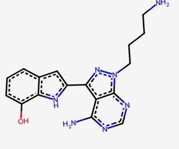 NCCCCn1nc(-c2cc3cccc(O)c3[nH]2)c2c(N)ncnc21